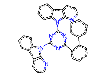 c1ccc(-c2ccccc2-c2nc(-n3c4ccccc4c4cccnc43)nc(-n3c4ccccc4c4cccnc43)n2)cc1